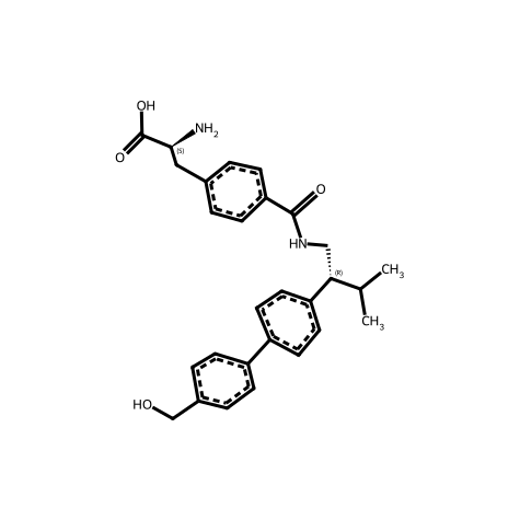 CC(C)[C@@H](CNC(=O)c1ccc(C[C@H](N)C(=O)O)cc1)c1ccc(-c2ccc(CO)cc2)cc1